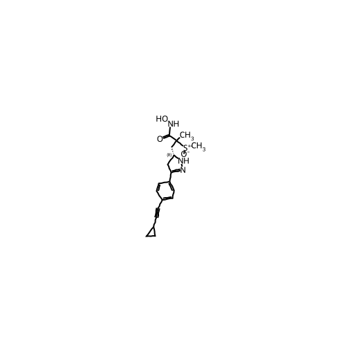 C[S+]([O-])C(C)(C[C@H]1CC(c2ccc(C#CC3CC3)cc2)=NN1)C(=O)NO